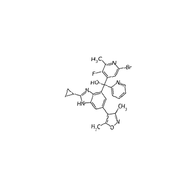 Cc1nc(Br)cc(C(O)(c2ccccn2)c2cc(-c3c(C)noc3C)cc3[nH]c(C4CC4)nc23)c1F